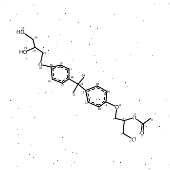 CC(=O)OC(CCl)COc1ccc(C(C)(C)c2ccc(OCC(O)CO)cc2)cc1